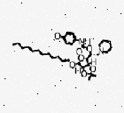 CCCCCCCCCCCCO[C@H]1O[C@H]([C@@H](CN2CCCCC2)OC(=O)Nc2ccc(OC)cc2)[C@@H]2OC(C)(C)O[C@H]12